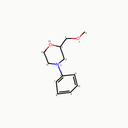 COCC1CN(c2c[c]ccc2)CCO1